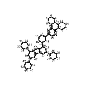 C1=Cc2c(c3ccccc3c3nc(-c4cccc(-c5cc(-c6ccccc6)cc6c5oc5c(-c7ccccc7)cc(-c7ccccc7)cc56)c4)cnc23)CC1